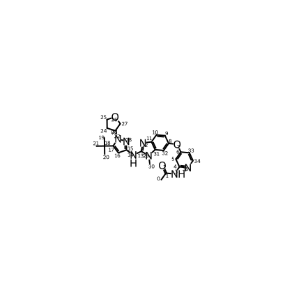 CC(=O)Nc1cc(Oc2ccc3nc(Nc4cc(C(C)(C)C)n([C@@H]5CCOC5)n4)n(C)c3c2)ccn1